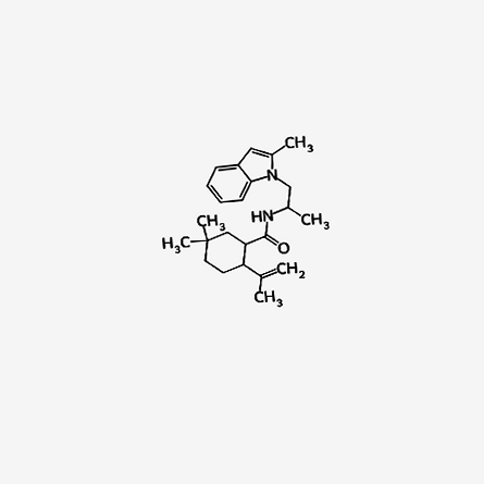 C=C(C)C1CCC(C)(C)CC1C(=O)NC(C)Cn1c(C)cc2ccccc21